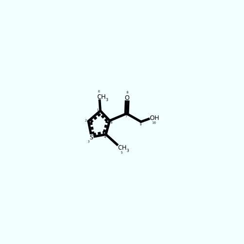 Cc1csc(C)c1C(=O)CO